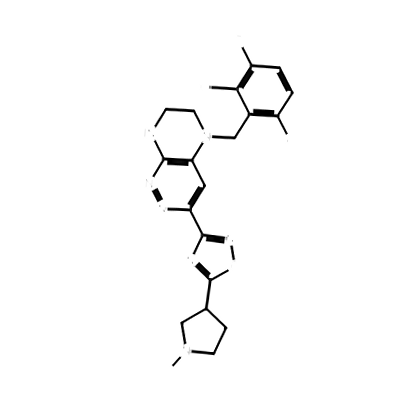 CN1CCC(c2nc(-c3cc4c(nn3)NCCN4Cc3c(Cl)ccc(F)c3Cl)no2)C1